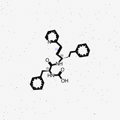 O=C(O)N[C@@H](Cc1ccccc1)C(=O)N[C@H](/C=C/c1ccccn1)CCc1ccccc1